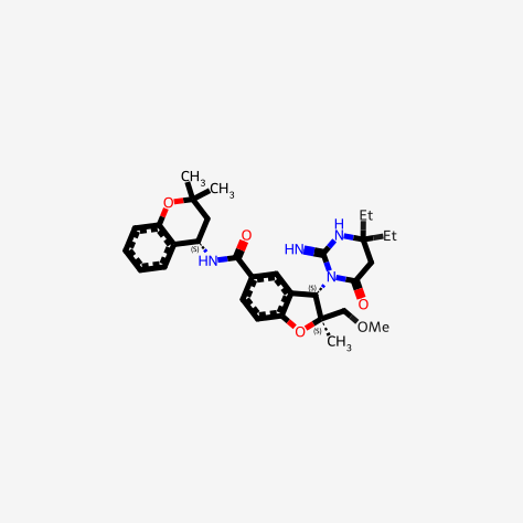 CCC1(CC)CC(=O)N([C@H]2c3cc(C(=O)N[C@H]4CC(C)(C)Oc5ccccc54)ccc3O[C@]2(C)COC)C(=N)N1